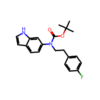 CC(C)(C)OC(=O)N(CCc1ccc(F)cc1)c1ccc2cc[nH]c2c1